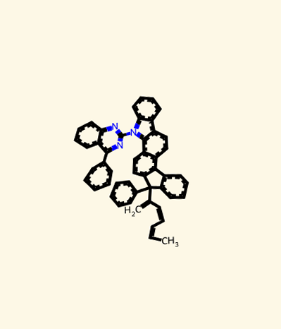 C=C(/C=C\C=C/C)C1(c2ccccc2)c2ccccc2-c2c1ccc1c2ccc2c3ccccc3n(-c3nc(-c4ccccc4)c4ccccc4n3)c12